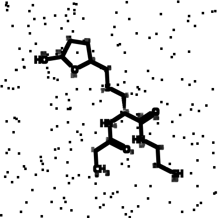 CCC(=O)N[C@H](CSCC1CCC(O)O1)C(=O)NCCS